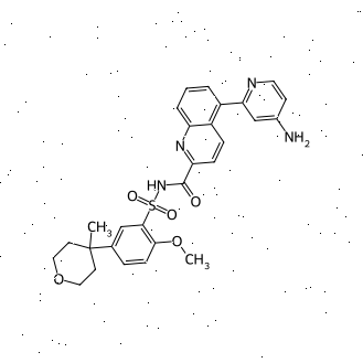 COc1ccc(C2(C)CCOCC2)cc1S(=O)(=O)NC(=O)c1ccc2c(-c3cc(N)ccn3)cccc2n1